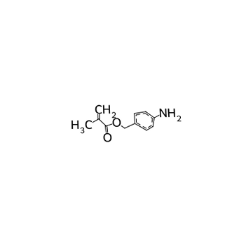 C=C(C)C(=O)OCc1ccc(N)cc1